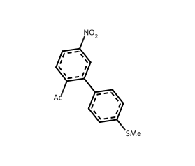 CSc1ccc(-c2cc([N+](=O)[O-])ccc2C(C)=O)cc1